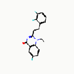 O=C(O)Cn1c(CCc2cccc(F)c2F)nc(=O)c2cc(F)ccc21